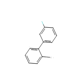 CC(C)c1ccccc1-c1cccc(F)c1